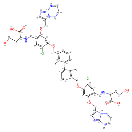 Cc1c(COc2cc(OCc3cnc4nccnn34)c(CNC(CCO)C(=O)O)cc2Cl)cccc1-c1cccc(COc2cc(OCc3cnc4nccnn34)c(CNC(CCO)C(=O)O)cc2Cl)c1C